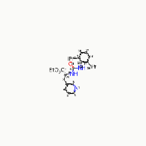 CCOC(=O)[C@@H](Cc1cccnc1)NC(=O)Nc1c(C(C)C)cccc1C(C)C